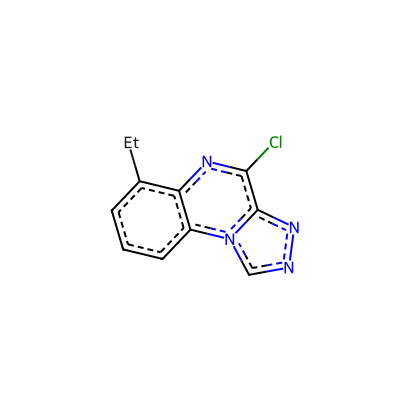 CCc1cccc2c1nc(Cl)c1nncn12